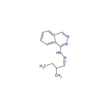 CCC(C)/C=N\Nc1nncc2ccccc12